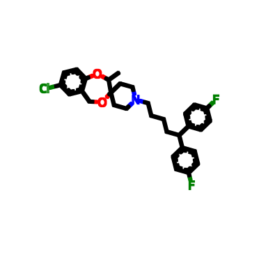 CC1Oc2ccc(Cl)cc2COC12CCN(CCCCC(c1ccc(F)cc1)c1ccc(F)cc1)CC2